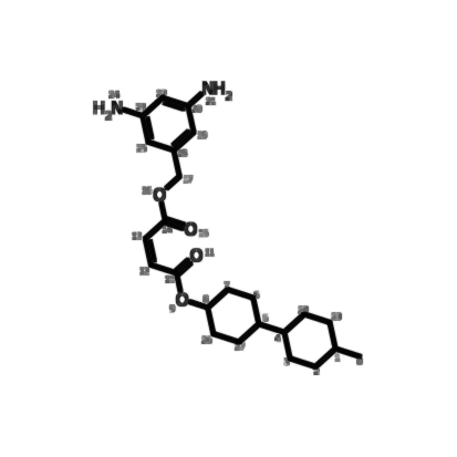 CC1CCC(C2CCC(OC(=O)/C=C\C(=O)OCc3cc(N)cc(N)c3)CC2)CC1